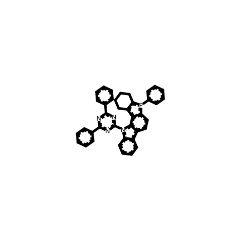 c1ccc(-c2nc(-c3ccccc3)nc(-n3c4ccccc4c4ccc5c(c6c(p5-c5ccccc5)CCCC6)c43)n2)cc1